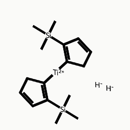 C[Si](C)(C)C1=[C]([Ti+2][C]2=C([Si](C)(C)C)C=CC2)CC=C1.[H-].[H-]